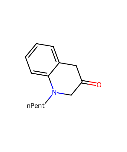 [CH2]CCCCN1CC(=O)Cc2ccccc21